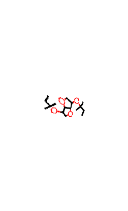 CCC(C)(C)OC1COC2C(OC(C)(C)CC)COC12